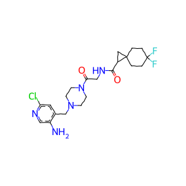 Nc1cnc(Cl)cc1CN1CCN(C(=O)CNC(=O)C2CC23CCC(F)(F)CC3)CC1